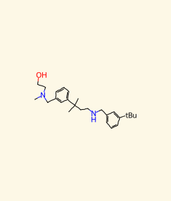 CN(CCO)Cc1cccc(C(C)(C)CCNCc2cccc(C(C)(C)C)c2)c1